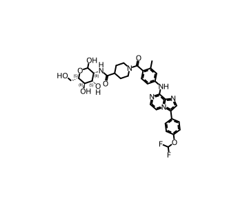 Cc1cc(Nc2nccn3c(-c4ccc(OC(F)F)cc4)cnc23)ccc1C(=O)N1CCC(C(=O)N[C@H]2C(O)O[C@@H](CO)[C@H](O)[C@H]2O)CC1